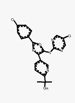 CC(C)(O)c1ccc(-c2nc(-c3ccc(Cl)cc3)oc2Sc2ncc(Cl)cn2)cn1